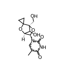 Cc1cn([C@@H]2O[C@@]3(CO)C(O)[C@@H]2OC32CC2)c(=O)[nH]c1=O